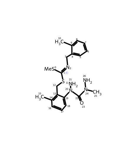 CS/C(=N\Cc1ccccc1C)SCc1c(C)cccc1N(N)C(=O)N(C)N